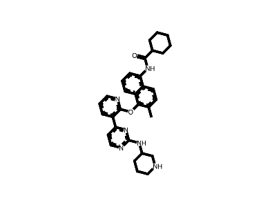 Cc1ccc2c(NC(=O)C3CCCCC3)cccc2c1Oc1ncccc1-c1ccnc(NC2CCCNC2)n1